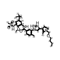 CCCCOCn1ncc(C2=CN(c3cc(C(=O)Nc4cc(C(C)(C)C)cc(NS(C)(=O)=O)c4OC)ccc3C)NN2)c1C